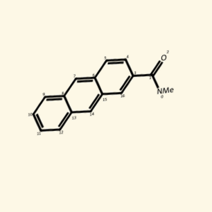 CNC(=O)c1ccc2cc3ccccc3cc2c1